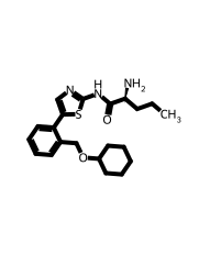 CCC[C@H](N)C(=O)Nc1ncc(-c2ccccc2COC2CCCCC2)s1